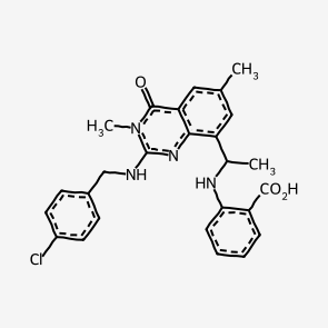 Cc1cc(C(C)Nc2ccccc2C(=O)O)c2nc(NCc3ccc(Cl)cc3)n(C)c(=O)c2c1